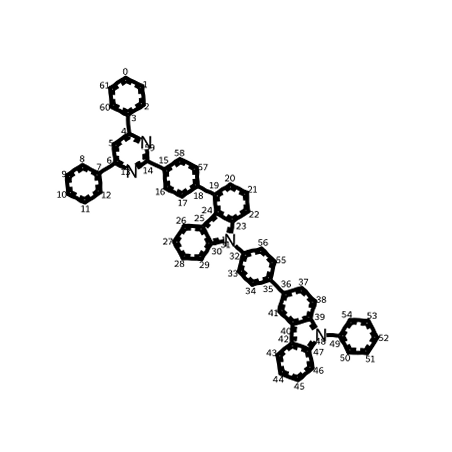 c1ccc(-c2cc(-c3ccccc3)nc(-c3ccc(-c4cccc5c4c4ccccc4n5-c4ccc(-c5ccc6c(c5)c5ccccc5n6-c5ccccc5)cc4)cc3)n2)cc1